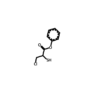 O=C(Oc1ccccc1)C(S)CCl